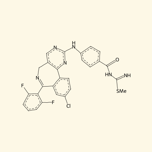 CSC(=N)NC(=O)c1ccc(Nc2ncc3c(n2)-c2ccc(Cl)cc2C(c2c(F)cccc2F)=NC3)cc1